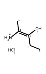 CCC(O)=C(C)N.Cl